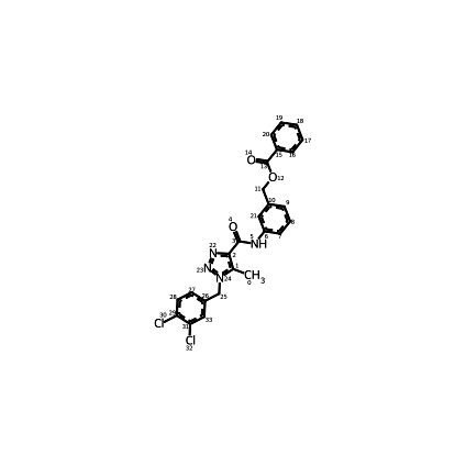 Cc1c(C(=O)Nc2cccc(COC(=O)c3ccccc3)c2)nnn1Cc1ccc(Cl)c(Cl)c1